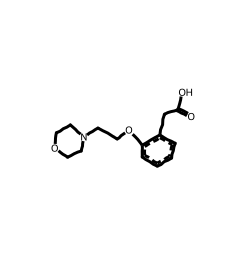 O=C(O)Cc1ccccc1OCCN1CCOCC1